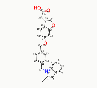 Cc1cc2ccccc2n1Cc1ccc(COc2ccc3c(c2)OCC3CC(=O)O)cc1